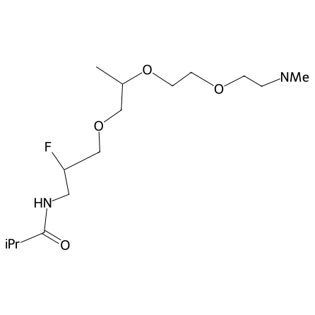 CNCCOCCOC(C)COCC(F)CNC(=O)C(C)C